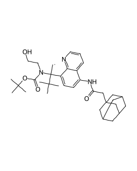 [CH2]C(c1ccc(NC(=O)CC23CC4CC(CC(C4)C2)C3)c2cccnc12)(N(CCO)C(=O)OC(C)(C)C)C(C)(C)C